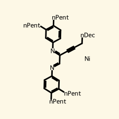 CCCCCCCCCCCC#CC(C=Nc1ccc(CCCCC)c(CCCCC)c1)=Nc1ccc(CCCCC)c(CCCCC)c1.[Ni]